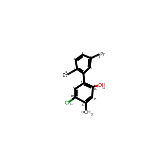 CCc1ccc(C(C)C)cc1-c1cc(Cl)c(C)cc1O